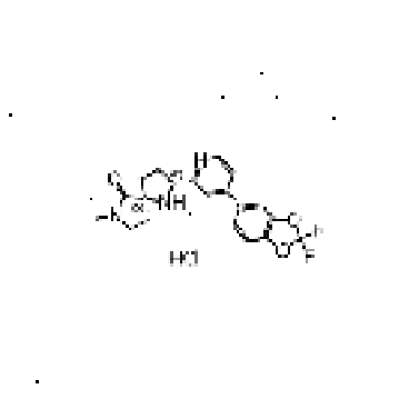 CN1CC[C@@]2(CC[C@H](c3cc(-c4ccc5c(c4)OC(F)(F)O5)ccn3)N2)C1=O.Cl